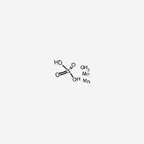 O.O=S(=O)(O)O.[Mn].[Mn]